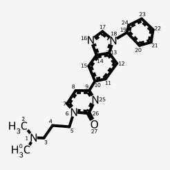 CN(C)CCCn1ccc(-c2ccc3c(c2)ncn3-c2ccccc2)nc1=O